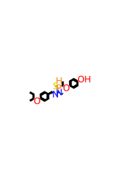 CCC(C)Oc1ccc(C=NN(C)[PH](=S)C(C)Oc2ccc(O)cc2)cc1